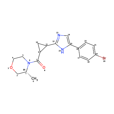 C[C@@H]1COCCN1C(=O)C1CC1c1ncc(-c2ccc(Br)cc2)[nH]1